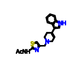 CC(=O)Nc1nc(CN2CC=C(c3c[nH]c4ccccc34)CC2)cs1